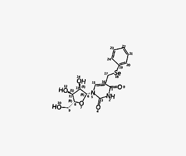 O=c1[nH]c(=O)n([C@@H]2O[C@H](CO)[C@@H](O)[C@H]2O)cc1C[Se]c1ccccc1